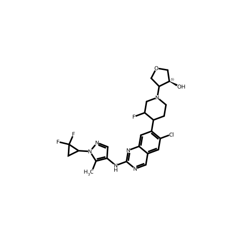 Cc1c(Nc2ncc3cc(Cl)c(C4CCN(C5COC[C@H]5O)CC4F)cc3n2)cnn1C1CC1(F)F